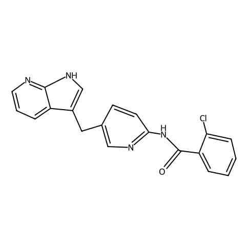 O=C(Nc1ccc(Cc2c[nH]c3ncccc23)cn1)c1ccccc1Cl